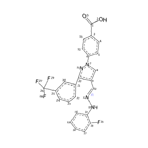 O=C(O)c1ccc(-n2cc(/C=N/Nc3ccccc3F)c(-c3cccc(C(F)(F)F)c3)n2)cc1